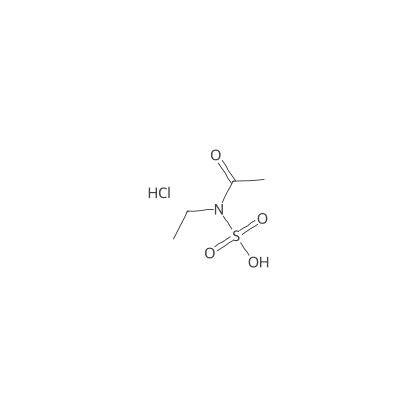 CCN(C(C)=O)S(=O)(=O)O.Cl